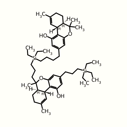 CC[Si](CC)(CC)CCCc1cc(O)c2c(c1)OC(C)(CCC[Si](CC)(CC)CCCCc1cc(O)c3c(c1)OC(C)(C)[C@@H]1CCC(C)=C[C@@H]31)[C@@H]1CCC(C)=C[C@@H]21